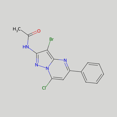 CC(=O)Nc1nn2c(Cl)cc(-c3ccccc3)nc2c1Br